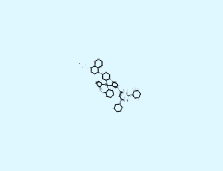 N#Cc1ccc(-c2ccc3c(c2)C2(c4ccccc4Sc4ccccc42)c2cc(-c4cc(-c5ccccc5)nc(-c5ccccc5)n4)ccc2-3)c2ccccc12